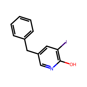 Oc1ncc(Cc2ccccc2)cc1I